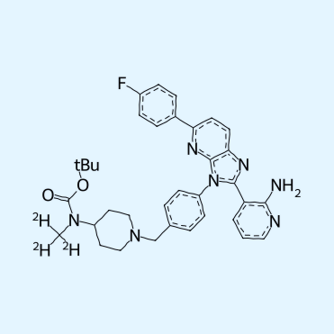 [2H]C([2H])([2H])N(C(=O)OC(C)(C)C)C1CCN(Cc2ccc(-n3c(-c4cccnc4N)nc4ccc(-c5ccc(F)cc5)nc43)cc2)CC1